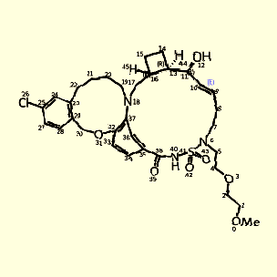 COCCOCCN1CC/C=C/[C@H](O)[C@@H]2CC[C@H]2CN2CCCCc3cc(Cl)ccc3COc3ccc(cc32)C(=O)NS1(=O)=O